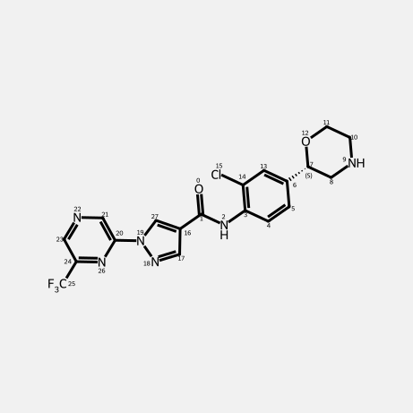 O=C(Nc1ccc([C@H]2CNCCO2)cc1Cl)c1cnn(-c2cncc(C(F)(F)F)n2)c1